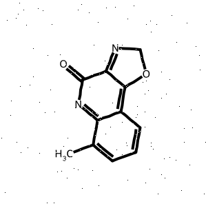 Cc1cccc2c1=NC(=O)C1=NCOC=21